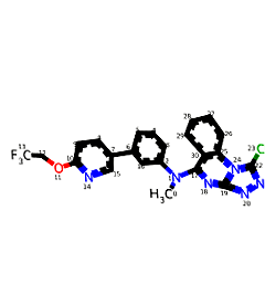 CN(c1cccc(-c2ccc(OCC(F)(F)F)nc2)c1)c1nc2nnc(Cl)n2c2ccccc12